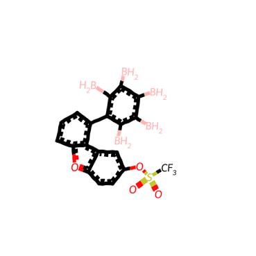 Bc1c(B)c(B)c(-c2cccc3oc4ccc(OS(=O)(=O)C(F)(F)F)cc4c23)c(B)c1B